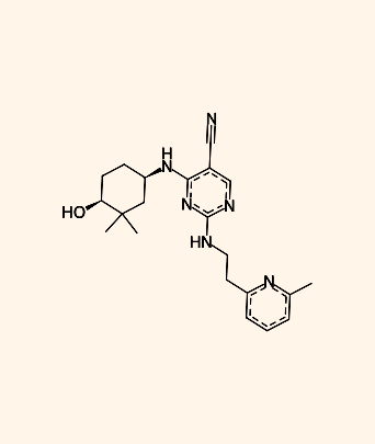 Cc1cccc(CCNc2ncc(C#N)c(N[C@@H]3CC[C@H](O)C(C)(C)C3)n2)n1